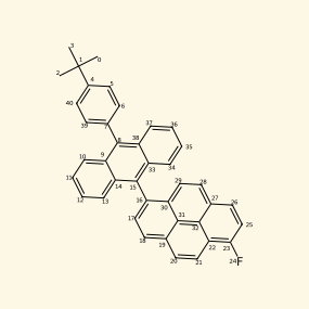 CC(C)(C)c1ccc(-c2c3ccccc3c(-c3ccc4ccc5c(F)ccc6ccc3c4c65)c3ccccc23)cc1